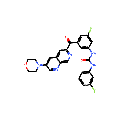 O=C(Nc1cccc(F)c1)Nc1cc(F)cc(C(=O)c2cc3cc(N4CCOCC4)cnc3cn2)c1